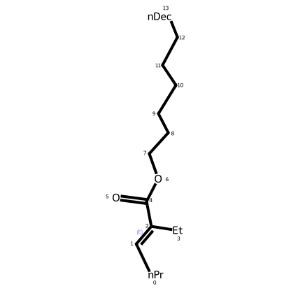 CCC/C=C(\CC)C(=O)OCCCCCCCCCCCCCCCC